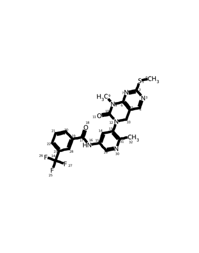 CSc1ncc2c(n1)N(C)C(=O)N(c1cc(NC(=O)c3cccc(C(F)(F)F)c3)cnc1C)C2